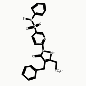 CCN(c1ccccc1)S(=O)(=O)c1ccc(-n2[nH]c(CC(=O)O)c(Cc3ccccc3)c2=O)nc1